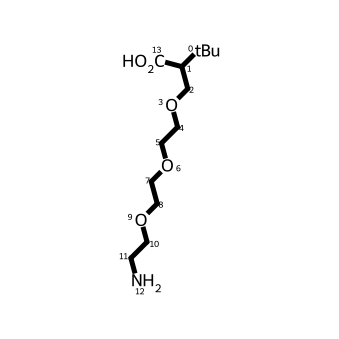 CC(C)(C)C(COCCOCCOCCN)C(=O)O